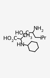 CC(C)CC(N)C(=O)O.CC(NC1CCCCC1)C(=O)O